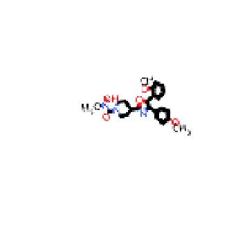 COc1ccc(-c2nc(C3CCN(C(=O)N(C)O)CC3)oc2-c2ccccc2OC)cc1